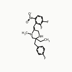 CCC1(Cc2ccc(F)cc2)CN(C)C(=Cc2c([N+](=O)[O-])ccc(F)c2F)CN1